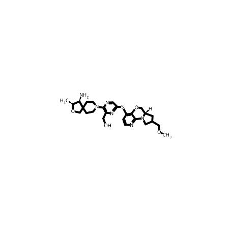 COCC1C[C@H]2COc3c(Sc4cnc(N5CCC6(CC5)CO[C@@H](C)[C@H]6N)c(CO)n4)ccnc3N2C1